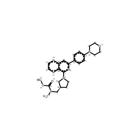 CN(C[C@@H]1CCN(c2nc(-c3ccc(N4CCOCC4)cc3)cc3nccnc23)C1)C(=O)OC(C)(C)C